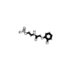 O=C(COc1ccccc1Cl)NCCO[N+](=O)[O-]